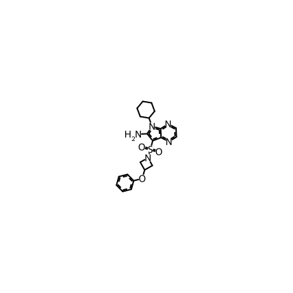 Nc1c(S(=O)(=O)N2CC(Oc3ccccc3)C2)c2nccnc2n1C1CCCCC1